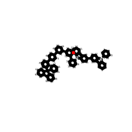 c1ccc(-n2c3ccccc3c3cc(-c4ccc5c(c4)c4ccccc4n5-c4ccccc4-c4cccc(-c5cccc(-c6ccc(-c7cccc(C8(c9ccccc9)c9ccccc9-c9ccccc98)c7)cc6)c5)c4)ccc32)cc1